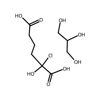 O=C(O)CCCC(O)(Cl)C(=O)O.OCC(O)CO